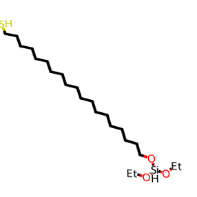 CCO[SiH](OCC)OCCCCCCCCCCCCCCCCCCCS